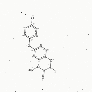 CCC(C)OC(=O)C(C)Oc1ccc(Oc2ccc(Cl)cc2)cc1